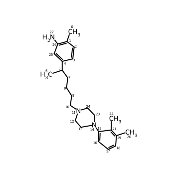 Cc1ccc(C(C)CCCCN2CCN(c3cccc(C)c3C)CC2)cc1N